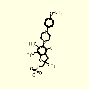 COc1ccc(N2CCN(c3c(C)c(C)c4c(c3C)CC(C)(COS(C)(=O)=O)O4)CC2)cc1